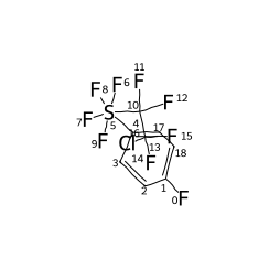 Fc1ccc(S(F)(F)(F)(F)C(F)(F)C(F)(F)Cl)cc1